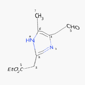 CCOC(=O)Cc1nc(C=O)c(C)[nH]1